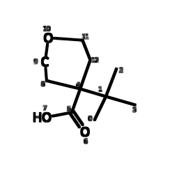 CC(C)(C)C1(C(=O)O)CCOCC1